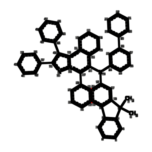 CC1(C)c2ccccc2-c2ccc(N(c3cccc(-c4ccccc4)c3)c3c(-c4ccccc4)n4nc(-c5ccccc5)c(-c5ccccc5)c4c4ccccc34)cc21